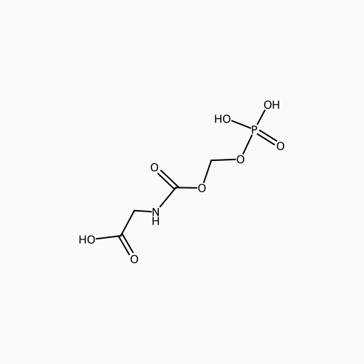 O=C(O)CNC(=O)OCOP(=O)(O)O